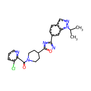 CC(C)n1ncc2ccc(-c3noc(C4CCN(C(=O)c5ncccc5Cl)CC4)n3)cc21